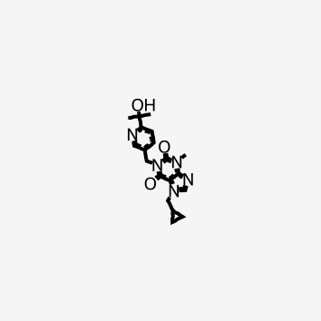 Cn1c(=O)n(Cc2ccc(C(C)(C)O)nc2)c(=O)c2c1ncn2CC1CC1